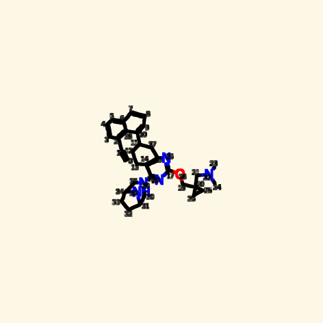 C#Cc1cccc2cccc(C3CCc4c(nc(OCC5(CN(C)C)CC5)nc4N4CC5CCC(C4)N5)C3)c12